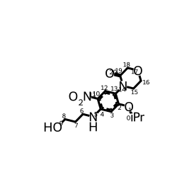 CC(C)Oc1cc(NCCCO)c([N+](=O)[O-])cc1N1CCOCC1=O